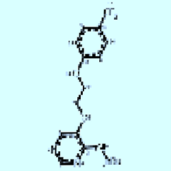 CCCCNc1ncncc1OCCOc1ccc(C(F)(F)F)cc1